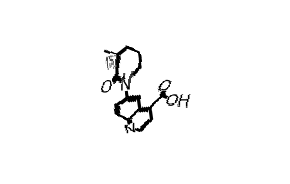 C[C@H]1CCCN(c2ccc3nccc(C(=O)O)c3c2)C1=O